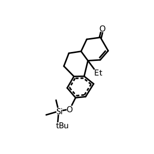 CCC12C=CC(=O)CC1CCc1cc(O[Si](C)(C)C(C)(C)C)ccc12